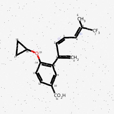 C=C(/C=C\C=C(/C)C(F)(F)F)c1cc(C(=O)O)ccc1OC1CC1